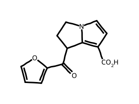 O=C(O)c1ccn2c1C(C(=O)c1ccco1)CC2